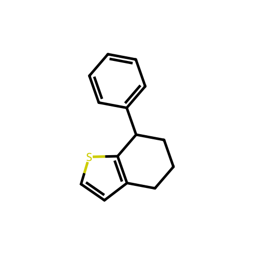 c1ccc(C2CCCc3ccsc32)cc1